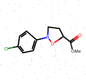 COC(=O)C1CCN(c2ccc(Cl)cc2)O1